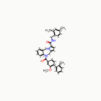 COc1cc(C(=O)N2Cc3ccc(C(=O)NCc4ccc(C)cc4C)n3Cc3ccccc32)ccc1-c1ccccc1C